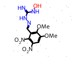 COc1cc([N+](=O)[O-])c([N+](=O)[O-])c(C=NNC(=N)NO)c1OC